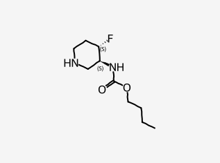 CCCCOC(=O)N[C@H]1CNCC[C@@H]1F